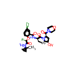 CC(C)C[C@@H](NC(=O)c1cc(Cl)ccc1O[C@H](F)C(=O)NC1(C)CC1)C(=O)N1C[C@@H](O)C[C@@H]1C(=O)N1CCOCC1